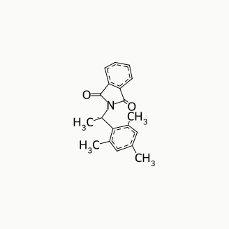 C[C](c1c(C)cc(C)cc1C)N1C(=O)c2ccccc2C1=O